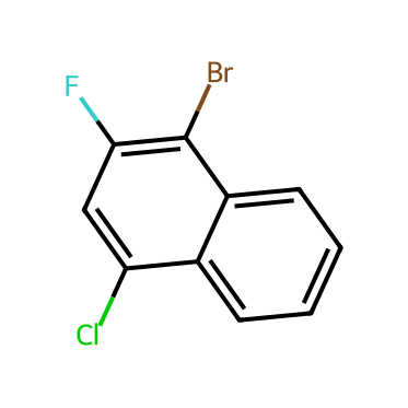 Fc1cc(Cl)c2ccccc2c1Br